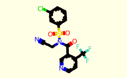 N#CCN(C(=O)c1cnccc1C(F)(F)F)S(=O)(=O)c1cccc(Cl)c1